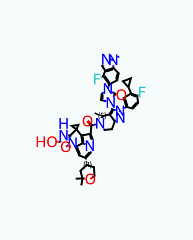 C[C@H]1c2c(nn(-c3ccc(F)c(C4CC4)c3)c2-n2ccn(-c3ccc4c(cnn4C)c3F)c2=O)CCN1C(=O)c1cn2cc([C@@H]3CCOC(C)(C)C3)ccc2c1C1(C2=NOC(O)N2)CC1